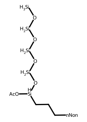 CCCCCCCCCCCC[SiH](O[SiH2]O[SiH2]O[SiH2]O[SiH3])OC(C)=O